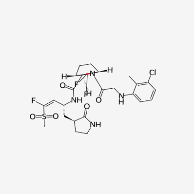 Cc1c(Cl)cccc1NCC(=O)N1[C@H]2CC[C@@H]([C@@H]1C(=O)N[C@@H](/C=C(/F)S(C)(=O)=O)C[C@@H]1CCNC1=O)C(F)(F)C2